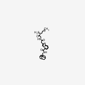 COCCN(C)C(=O)CNC(=O)Cc1cn2c(C(=O)NCC34CC5CC(CC(C5)C3)C4)cccc2n1